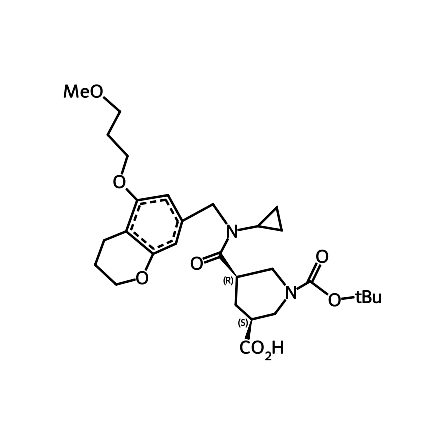 COCCCOc1cc(CN(C(=O)[C@@H]2C[C@H](C(=O)O)CN(C(=O)OC(C)(C)C)C2)C2CC2)cc2c1CCCO2